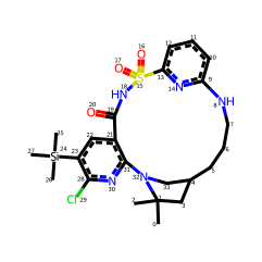 CC1(C)CC2CCCNc3cccc(n3)S(=O)(=O)NC(=O)c3cc([Si](C)(C)C)c(Cl)nc3N1C2